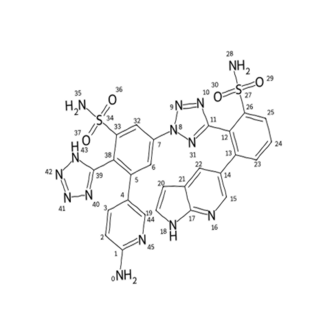 Nc1ccc(-c2cc(-n3nnc(-c4c(-c5cnc6[nH]ccc6c5)cccc4S(N)(=O)=O)n3)cc(S(N)(=O)=O)c2-c2nnn[nH]2)cn1